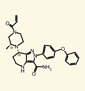 C=CC(=O)N1CCN([C@H]2CCNc3c2nn(-c2ccc(Oc4ccccc4)cc2)c3C(N)=O)[C@@H](C)C1